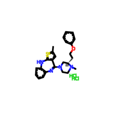 Cc1cc2c(s1)Nc1ccccc1N=C2N1CCN(C)[C@@H](CCOc2ccccc2)C1.Cl.Cl